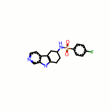 O=S(=O)(NC1CCC2=C(C1)c1ccncc1[N]2)c1ccc(F)cc1